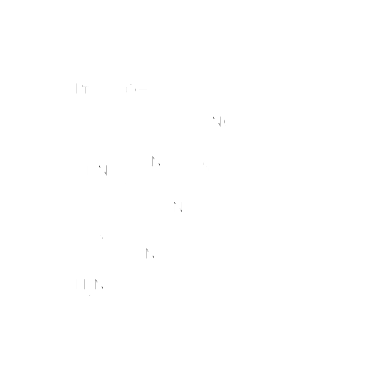 CC(C)CC(CO)Nc1nc(SCc2ccccc2C#N)nc2nc(N)sc12